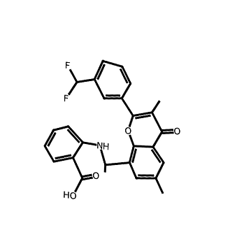 Cc1cc(C(C)Nc2ccccc2C(=O)O)c2oc(-c3cccc(C(F)F)c3)c(C)c(=O)c2c1